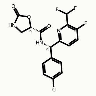 O=C1NC[C@@H](C(=O)N[C@@H](c2ccc(Cl)cc2)c2ccc(F)c(C(F)F)n2)O1